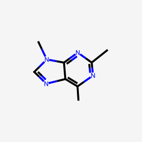 Cc1nc(C)c2ncn(C)c2n1